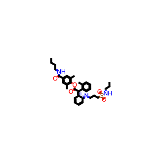 CCCCNC(=O)c1cc(C)c(OC(=O)/C(=C2\C=CC=C\C2=N/CCCS(=O)(=O)NCCC)c2ccccc2C)c(C)c1